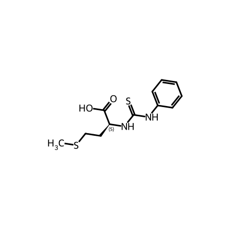 CSCC[C@H](NC(=S)Nc1ccccc1)C(=O)O